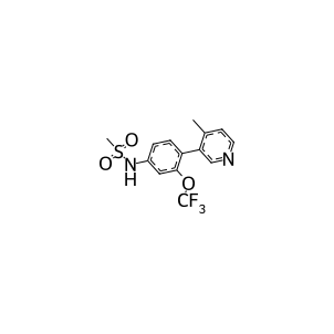 Cc1ccncc1-c1ccc(NS(C)(=O)=O)cc1OC(F)(F)F